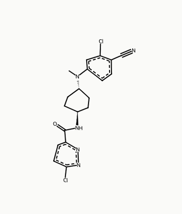 CN(c1ccc(C#N)c(Cl)c1)[C@H]1CC[C@H](NC(=O)c2ccc(Cl)nn2)CC1